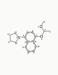 COC(C)Oc1ccc([S+]2CCCC2)c2ccccc12